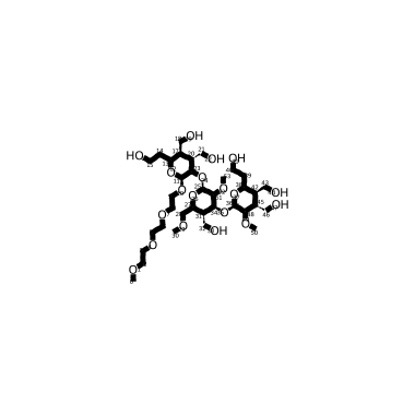 COCCOCCOCCO[C@H]1OC(CCO)[C@@H](CO)[C@H](CO)C1O[C@H]1OC(COC)[C@@H](CO)[C@H](O[C@H]2OC(CCO)[C@@H](CO)[C@H](CO)C2OC)C1OC